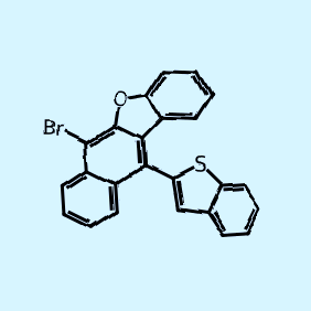 Brc1c2ccccc2c(-c2cc3ccccc3s2)c2c1oc1ccccc12